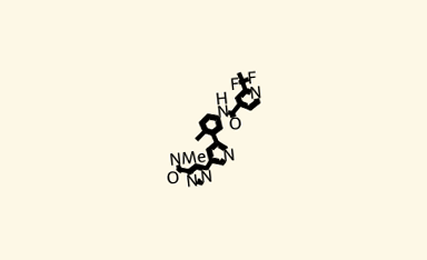 CNC(=O)c1cc(-c2cncc(-c3cc(NC(=O)c4ccnc(C(C)(F)F)c4)ccc3C)c2)ncn1